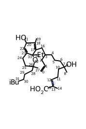 C=CCC(CCCC(C)(O)CC/C=C(\C)C(=O)O)CC1=C(C)C(O)C=C2CCC(C)(CCCC(C)CC)OC21CC